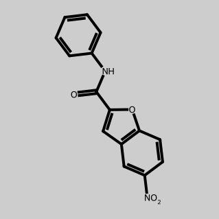 O=C(Nc1ccccc1)c1cc2cc([N+](=O)[O-])ccc2o1